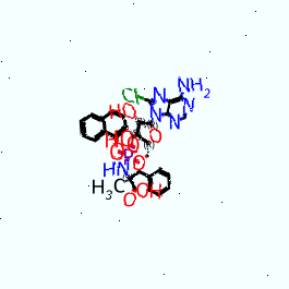 C[C@@](Cc1ccccc1)(NP(=O)(OC[C@H]1O[C@@H](n2c(Cl)nc3c(N)ncnc32)[C@H](O)[C@@H]1O)Oc1cccc2ccccc12)C(=O)O